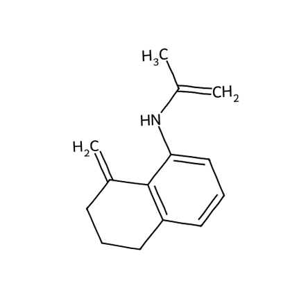 C=C(C)Nc1cccc2c1C(=C)CCC2